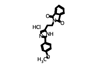 COc1ccc(-c2ncc(CCN3C(=O)c4ccccc4C3=O)[nH]2)cc1.Cl